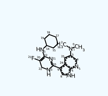 CN(C)c1cnc2[nH]cc(C3=NC(NC4CCCCC4)=C(F)CN3)c2c1